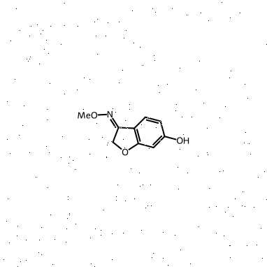 CON=C1COc2cc(O)ccc21